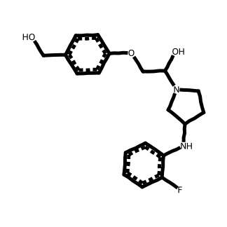 OCc1ccc(OCC(O)N2CCC(Nc3ccccc3F)C2)cc1